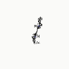 C=CC(=O)OC1CCN(C2=C(F)/C(=C(\C#N)C(=O)OCCCCCCOC(=O)/C(C#N)=C3\CC(C)(C)CC(N4CCC(OC(C)=O)CC4)=C3F)CC(C)(C)C2)CC1